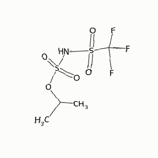 CC(C)OS(=O)(=O)NS(=O)(=O)C(F)(F)F